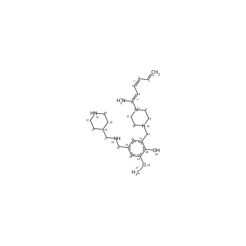 C=C/C=C\C=C(/N)N1CCN(Cc2cc(CNCC3CCNCC3)cc(OC)c2O)CC1